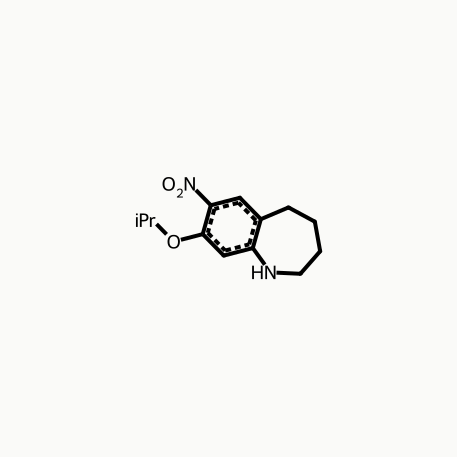 CC(C)Oc1cc2c(cc1[N+](=O)[O-])CCCCN2